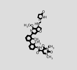 COc1nc(-c2cccc(-c3cccc(NC(=O)c4cn(C)c(=O)n(C)c4=O)c3C)c2C)cc2c1[C@@H](NC[C@@H]1CCC(=O)N1)CO2